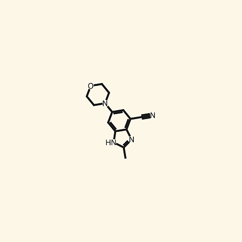 Cc1nc2c(C#N)cc(N3CCOCC3)cc2[nH]1